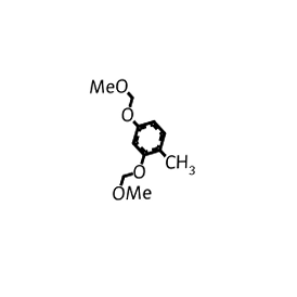 COCOc1ccc(C)c(OCOC)c1